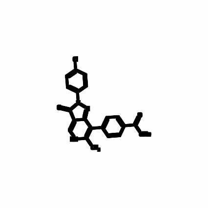 COC(=O)c1ccc(-c2c3nn(-c4ccc(Cl)cc4)c(=O)c-3c[nH]c2C)cc1